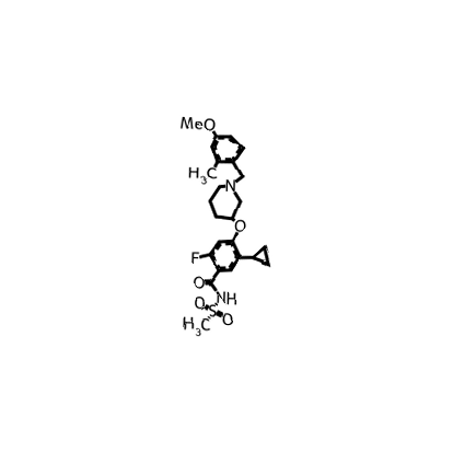 COc1ccc(CN2CCCC(Oc3cc(F)c(C(=O)NS(C)(=O)=O)cc3C3CC3)C2)c(C)c1